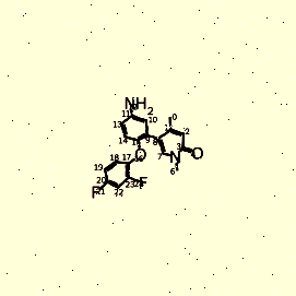 Cc1cc(=O)n(C)cc1-c1cc(N)ccc1Oc1ccc(F)cc1F